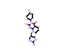 O=c1nc2n(Cc3cnc(Cl)nc3)cccc-2c(=O)n1-c1ccc(Cl)cc1